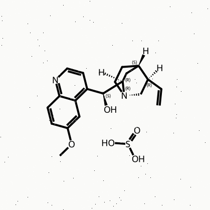 C=C[C@H]1C[N@]2CC[C@H]1C[C@@H]2[C@@H](O)c1ccnc2ccc(OC)cc12.O=S(O)O